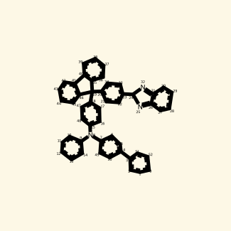 c1ccc(-c2ccc(N(c3ccccc3)c3ccc(C4(c5ccc(C6N=c7ccccc7=N6)cc5)c5ccccc5-c5ccccc54)cc3)cc2)cc1